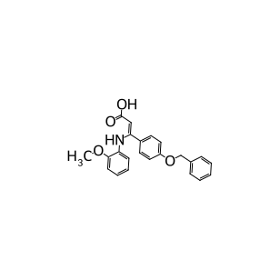 COc1ccccc1N/C(=C\C(=O)O)c1ccc(OCc2ccccc2)cc1